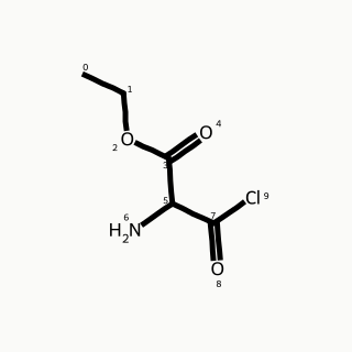 CCOC(=O)C(N)C(=O)Cl